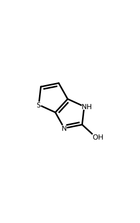 Oc1nc2sccc2[nH]1